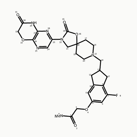 CNC(=O)COc1cc(F)c2c(c1)CC(CN1CCC3(CC1)CN(c1cnc4c(n1)NC(=O)CO4)C(=O)O3)C2